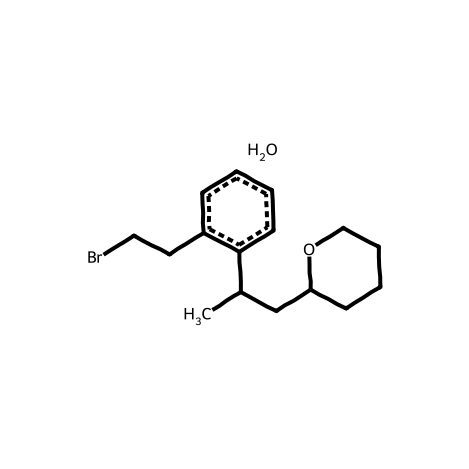 CC(CC1CCCCO1)c1ccccc1CCBr.O